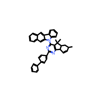 CC1C=CC2c3nc(-c4ccc(-c5ccccc5)cc4)nc(-n4c5ccccc5c5cc6ccccc6cc54)c3C(C)(C)C2C1